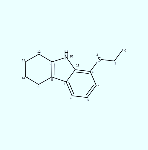 CCSc1cccc2c3c([nH]c12)CC[C]C3